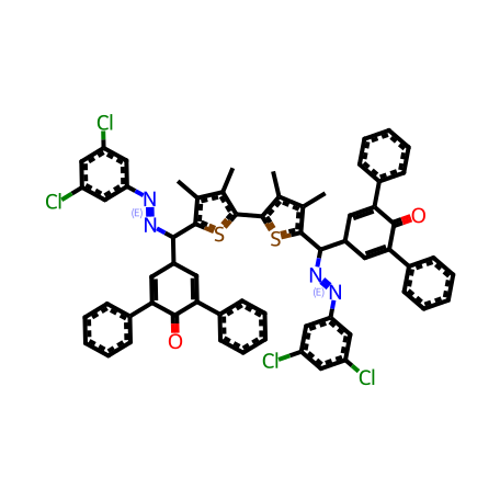 Cc1c(-c2sc(C(/N=N/c3cc(Cl)cc(Cl)c3)C3C=C(c4ccccc4)C(=O)C(c4ccccc4)=C3)c(C)c2C)sc(C(/N=N/c2cc(Cl)cc(Cl)c2)C2C=C(c3ccccc3)C(=O)C(c3ccccc3)=C2)c1C